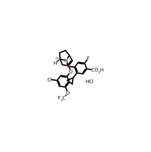 Cl.O=C(O)c1cc(C2CC2)c(CN2C3C=C(Oc4cc(Cl)cc(OC(F)(F)F)c4)C[C@@H]2CC3)cc1F